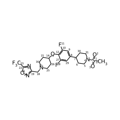 CS(=O)(=O)N1CCC(c2cc(F)c(OC3CCN(Cc4noc(C(F)(F)F)n4)CC3)c(F)c2)CC1